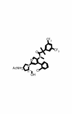 CC(=O)N[C@H]1C[C@@H](CO)N(c2cc(-c3ccccc3Cl)c(N(C)C(=O)C(C)(C)c3cc(C(F)(F)F)cc(C(F)(F)F)c3)cn2)C1